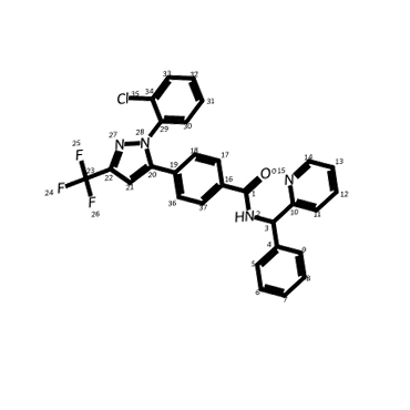 O=C(NC(c1ccccc1)c1ccccn1)c1ccc(-c2cc(C(F)(F)F)nn2-c2ccccc2Cl)cc1